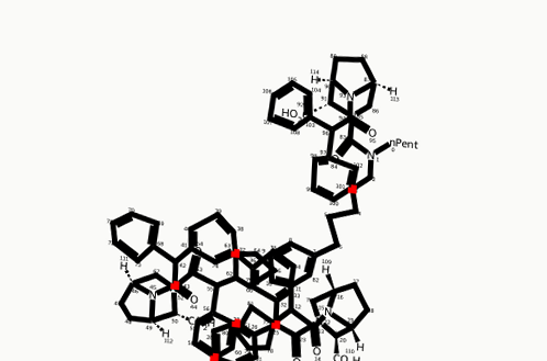 CCCCCN(CCCCCc1cccc(C(C(=O)N2[C@H]3CC[C@@H]2[C@@H](C(=O)O)N(C(=O)C(c2ccccc2)c2cccc(-c4cccc(C(C(=O)N5[C@H]6CC[C@@H]5[C@@H](C(=O)O)N(C(=O)C(c5ccccc5)C5CCCC5)C6)c5ccccc5)c4)c2)C3)C2CCCC2)c1)C(=O)N1C[C@@H]2CC[C@H]([C@H]1C(=O)O)N2C(=O)C(c1ccccc1)c1ccccc1